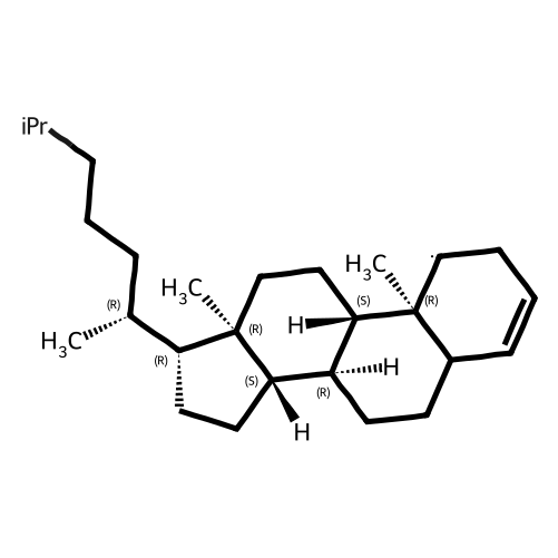 CC(C)CCC[C@@H](C)[C@H]1CC[C@H]2[C@@H]3CCC4C=CC[CH][C@]4(C)[C@H]3CC[C@]12C